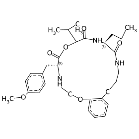 CCC[C@@H]1NC(=O)C(C(C)C)OC(=O)[C@@H](Cc2ccc(OC)cc2)NCCOc2ccccc2CCCNC1=O